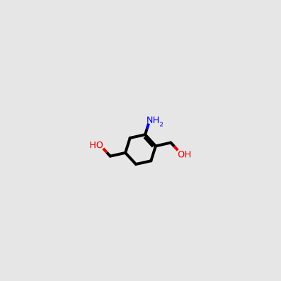 NC1=C(CO)CCC(CO)C1